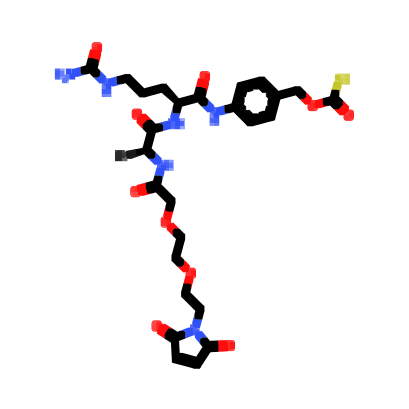 CC(C)[C@H](NC(=O)COCCOCCN1C(=O)C=CC1=O)C(=O)N[C@@H](CCCNC(N)=O)C(=O)Nc1ccc(COC(=O)S)cc1